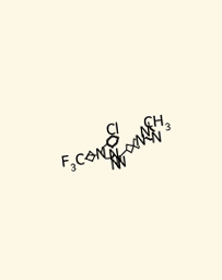 Cc1cncc(N2CC3(CC(c4nnc5n4-c4ccc(Cl)cc4CN(C46CC(C(F)(F)F)(C4)C6)C5)C3)C2)n1